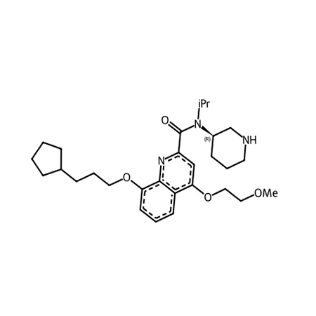 COCCOc1cc(C(=O)N(C(C)C)[C@@H]2CCCNC2)nc2c(OCCCC3CCCC3)cccc12